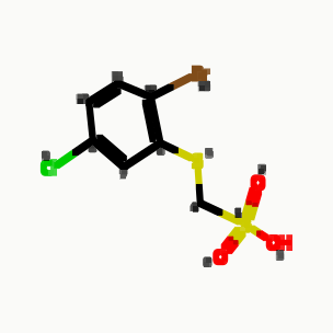 O=S(=O)(O)CSc1cc(Cl)ccc1Br